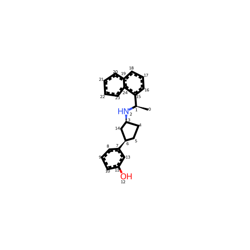 C[C@@H](N[C@H]1CC[C@@H](c2cccc(O)c2)C1)c1cccc2ccccc12